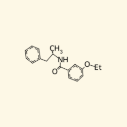 CCOc1cccc(C(=O)N[C@H](C)Cc2ccccc2)c1